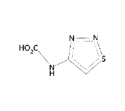 O=C(O)Nc1csnn1